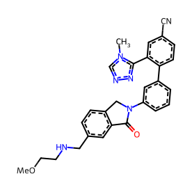 COCCNCc1ccc2c(c1)C(=O)N(c1cccc(-c3ccc(C#N)cc3-c3nncn3C)c1)C2